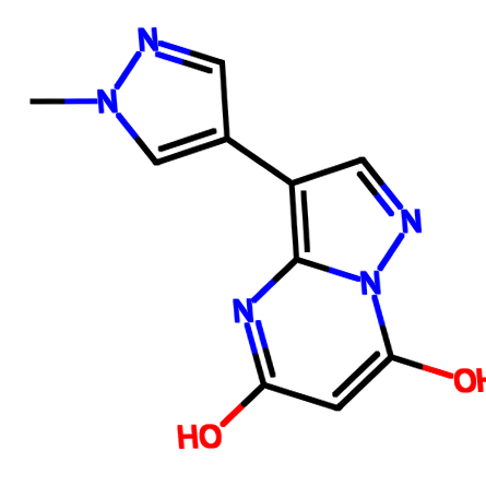 Cn1cc(-c2cnn3c(O)cc(O)nc23)cn1